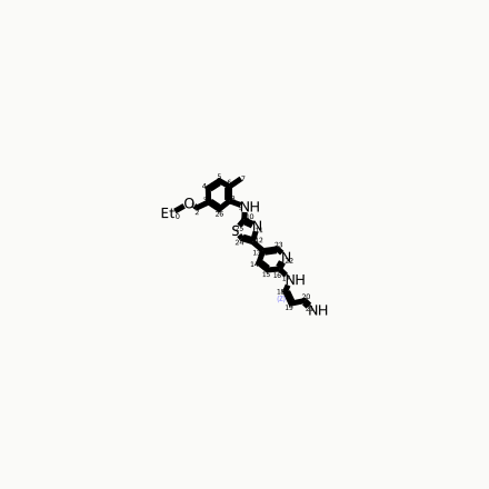 CCOCc1ccc(C)c(Nc2nc(-c3ccc(N/C=C\C=N)nc3)cs2)c1